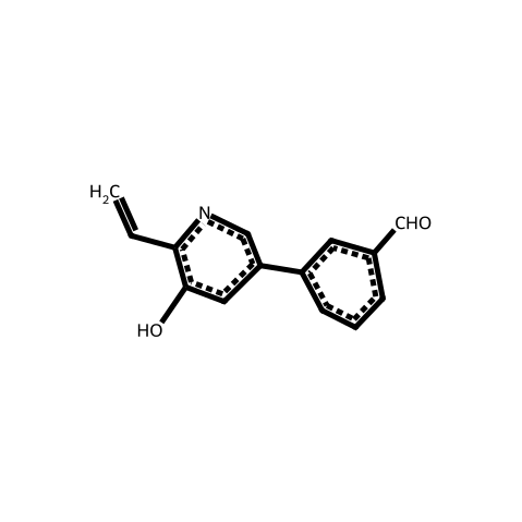 C=Cc1ncc(-c2cccc(C=O)c2)cc1O